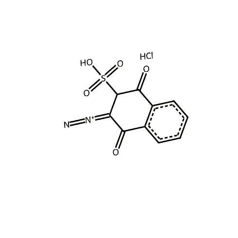 Cl.[N-]=[N+]=C1C(=O)c2ccccc2C(=O)C1S(=O)(=O)O